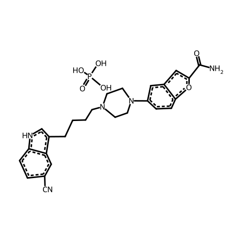 N#Cc1ccc2[nH]cc(CCCCN3CCN(c4ccc5oc(C(N)=O)cc5c4)CC3)c2c1.O=P(O)(O)O